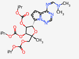 CC(C)OC(=O)OC[C@@]1(C)O[C@@H](c2ccc3c(/N=C\N(C)C)ncnn23)[C@H](OC(=O)OC(C)C)[C@@H]1OC(=O)OC(C)C